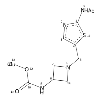 CC(=O)Nc1ncc(CN2CC(NC(=O)OC(C)(C)C)C2)s1